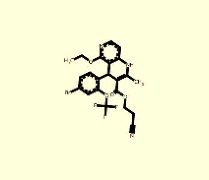 CCOc1nccc2c1C(c1ccc(Br)cc1OC(F)(F)F)C(C(=O)OCCC#N)=C(C)N2